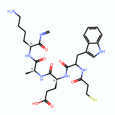 C=NC(=O)[C@H](CCCCN)NC(=O)[C@H](C)NC(=O)[C@H](CCC(=O)O)NC(=O)C(Cc1c[nH]c2ccccc12)NC(=O)CCS